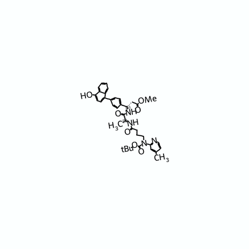 COC(=O)C[C@H](NC(=O)[C@H](C)NC(=O)CCCN(C(=O)OC(C)(C)C)c1cc(C)ccn1)c1ccc(-c2ccc(O)c3ccccc23)cc1